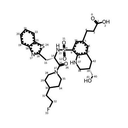 O=C(O)CCc1cc2c(c(S(=O)(=O)N[C@@H](Cc3nc4ccccc4s3)C(=O)N3CCC(CCF)CC3)c1)NC[C@@H](CO)C2